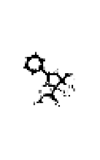 BC1(B)OC(c2ccccc2)=N[C@@]1(B)C(=O)OC(C)C